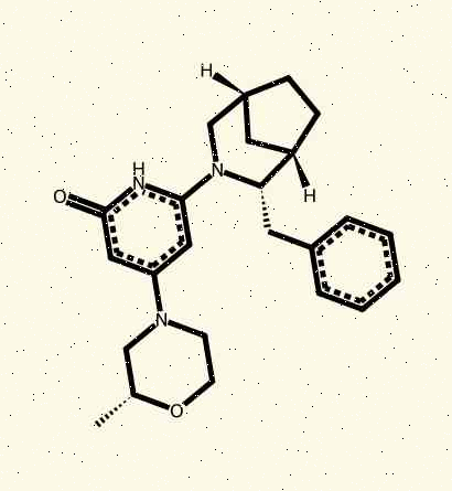 C[C@@H]1CN(c2cc(N3C[C@@H]4CC[C@@H](C4)[C@@H]3Cc3ccccc3)[nH]c(=O)c2)CCO1